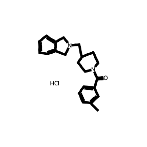 Cc1cccc(C(=O)N2CCC(CN3Cc4ccccc4C3)CC2)c1.Cl